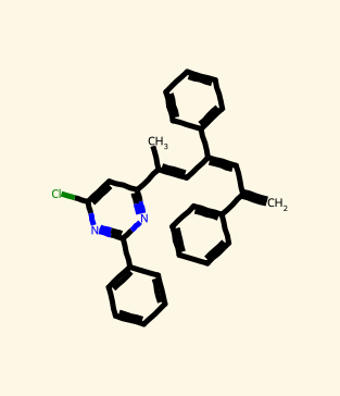 C=C(/C=C(\C=C(/C)c1cc(Cl)nc(-c2ccccc2)n1)c1ccccc1)c1ccccc1